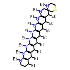 CCC1CCN(CC)C2=C1C(CC)C1=C(N2CC)N(CC)C2=C(C1CC)C(CC)C1=C(N2CC)N(CC)C2=C(C(CC)C3=C(N(CC)C4=C(C3CC)C(CC)C3(CSCCN3CC)CN4CC)N2CC)C1CC